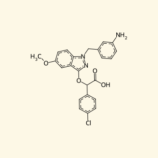 COc1ccc2c(c1)c(OC(C(=O)O)c1ccc(Cl)cc1)nn2Cc1cccc(N)c1